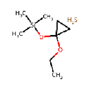 CCOC1(O[Si](C)(C)C)CC1.S